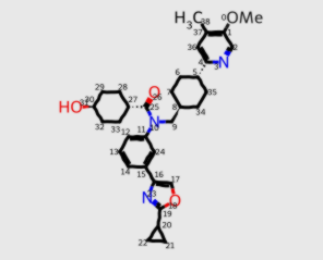 COc1cnc([C@H]2CC[C@H](CN(c3cccc(-c4coc(C5CC5)n4)c3)C(=O)[C@H]3CC[C@H](O)CC3)CC2)cc1C